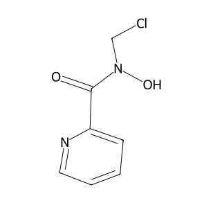 O=C(c1ccccn1)N(O)CCl